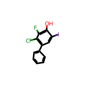 Oc1c(I)cc(-c2ccccc2)c(Cl)c1F